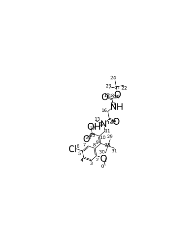 COc1ccc(Cl)cc1C(=C(CN(C)C(=O)CNC(=O)OC(C)(C)C)C(=O)O)C(C)(C)C